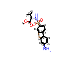 COC(=O)[C@@H](NS(=O)(=O)c1ccc2c(c1)sc1cc(N)ccc12)C(C)C